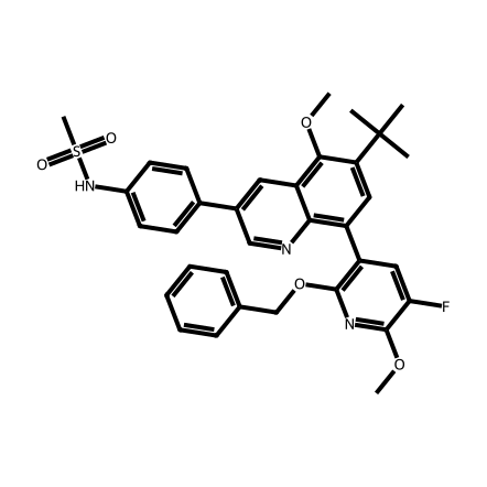 COc1nc(OCc2ccccc2)c(-c2cc(C(C)(C)C)c(OC)c3cc(-c4ccc(NS(C)(=O)=O)cc4)cnc23)cc1F